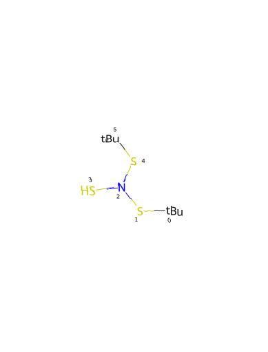 CC(C)(C)SN(S)SC(C)(C)C